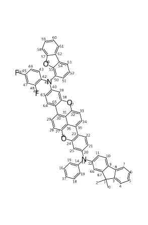 CC1(C)c2ccccc2-c2ccc(N(c3ccccc3)c3ccc4c(c3)Oc3ccc5c6c(ccc-4c36)Oc3cc(N(c4ccc(F)cc4F)c4cccc6c4oc4ccccc46)ccc3-5)cc21